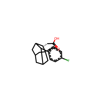 C[C@]12CC3CC(C1)[C@](CC(=O)O)(c1ccc(F)cc1)C(C3)C2